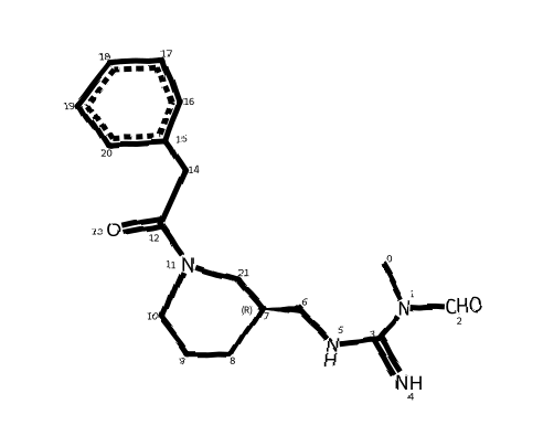 CN(C=O)C(=N)NC[C@H]1CCCN(C(=O)Cc2ccccc2)C1